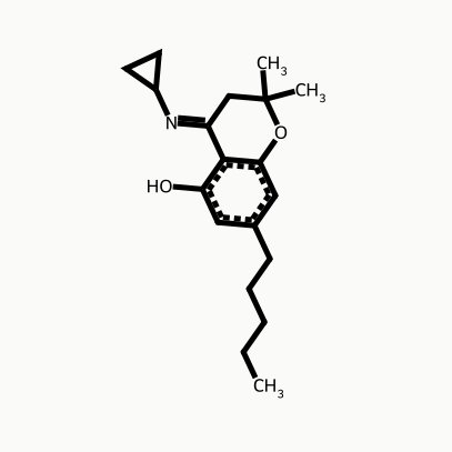 CCCCCc1cc(O)c2c(c1)OC(C)(C)CC2=NC1CC1